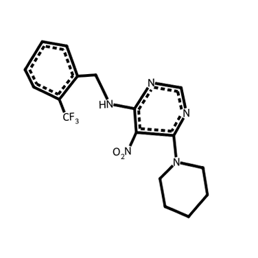 O=[N+]([O-])c1c(NCc2ccccc2C(F)(F)F)ncnc1N1CCCCC1